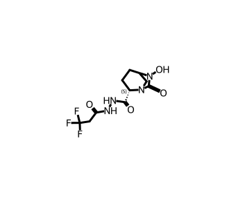 O=C(CC(F)(F)F)NNC(=O)[C@@H]1CCC2CN1C(=O)N2O